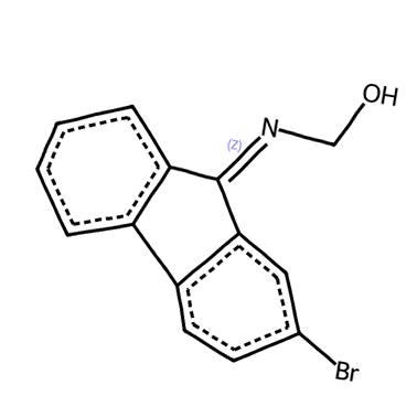 OC/N=C1/c2ccccc2-c2ccc(Br)cc21